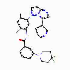 Cc1cc(C)c(-n2ccc3ncc(-c4cccnc4)n32)cc1NC(=O)c1cccc(N2CCC(F)(F)CC2)c1